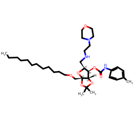 CCCCCCCCCCCCOC[C@@]12O[C@@H](CNCCN3CCOCC3)[C@@H](OC(=O)Nc3ccc(C)cc3)[C@@H]1OC(C)(C)O2